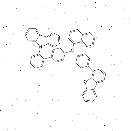 c1ccc(-n2c3ccccc3c3ccccc32)c(-c2ccc(N(c3ccc(-c4cccc5c4oc4ccccc45)cc3)c3cccc4ccccc34)cc2)c1